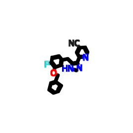 N#Cc1ccnc(-c2nc[nH]c2Cc2ccc(F)c(OCc3ccccc3)c2)c1